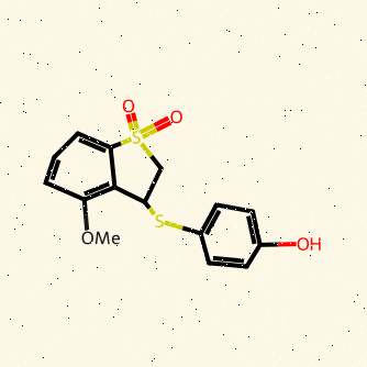 COc1cccc2c1C(Sc1ccc(O)cc1)CS2(=O)=O